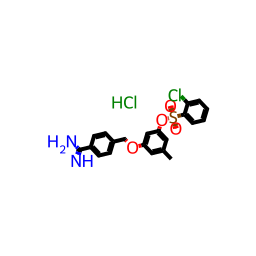 Cc1cc(OCc2ccc(C(=N)N)cc2)cc(OS(=O)(=O)c2ccccc2Cl)c1.Cl